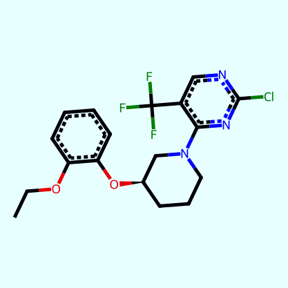 CCOc1ccccc1O[C@@H]1CCCN(c2nc(Cl)ncc2C(F)(F)F)C1